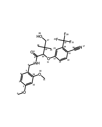 COc1ccc(CNC(=O)C(Oc2ccc(C#N)c(C(F)(F)F)c2)C(C)(C)CO)c(OC)c1